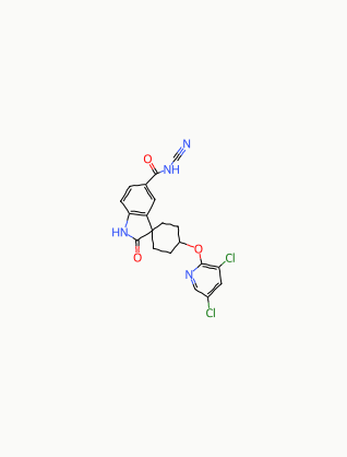 N#CNC(=O)c1ccc2c(c1)C1(CCC(Oc3ncc(Cl)cc3Cl)CC1)C(=O)N2